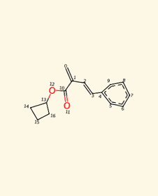 C=C(C=Cc1ccccc1)C(=O)OC1CCC1